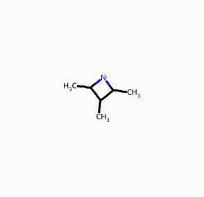 CC1[N]C(C)C1C